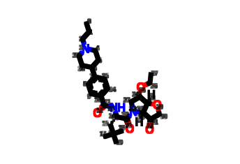 CCCN1CCC(c2ccc(C(=O)N[C@@H](CC(C)(C)C)C(=O)N3C[C@H](OCC)[C@H]4OCC(=O)[C@H]43)cc2)CC1